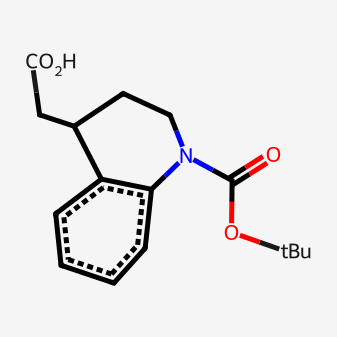 CC(C)(C)OC(=O)N1CCC(CC(=O)O)c2ccccc21